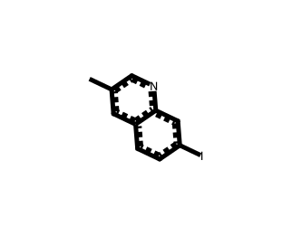 Cc1cnc2cc(I)ccc2c1